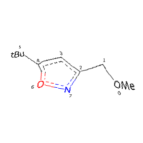 COCc1cc(C(C)(C)C)on1